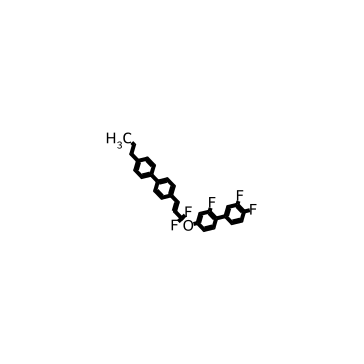 CCCc1ccc(-c2ccc(/C=C/C(F)(F)Oc3ccc(-c4ccc(F)c(F)c4)c(F)c3)cc2)cc1